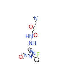 CN(C)C/C=C/C(=O)CCC(=O)NCCNCc1cc2c(N3CCOCC3)nc(-c3ccccc3F)nn2c1